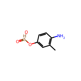 Cc1cc(O[SH](=O)=O)ccc1N